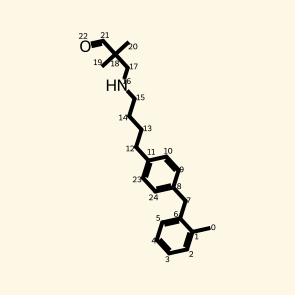 Cc1ccccc1Cc1ccc(CCCCNCC(C)(C)C=O)cc1